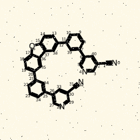 N#Cc1cncc(-c2cccc(-c3ccc4oc5ccc(-c6cccc(-c7cncc(C#N)c7)c6)cc5c4c3)c2)c1